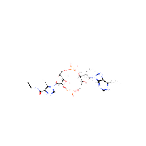 C=CNC(=O)c1ncn(C2OC3COP(=O)(O)O[C@@H]4C(CO[PH](=O)O[C@@H]2[C@@H]3O)OC(n2cnc3c(NC)ncnc32)[C@@H]4OC)c1C